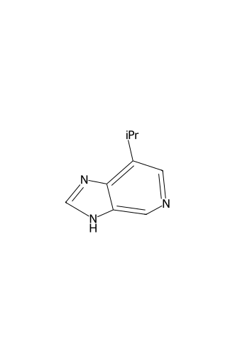 CC(C)c1cncc2[nH]cnc12